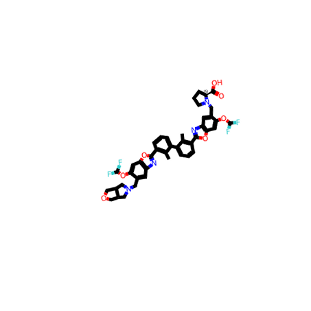 Cc1c(-c2nc3cc(CN4CC5COCC5C4)c(OC(F)F)cc3o2)cccc1-c1cccc(-c2nc3cc(CN4CCC[C@H]4C(=O)O)c(OC(F)F)cc3o2)c1C